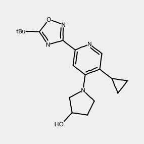 CC(C)(C)c1nc(-c2cc(N3CCC(O)C3)c(C3CC3)cn2)no1